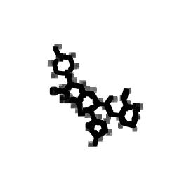 C=Cc1ncccc1/C=C(\C)c1cc2cc(N3CCN(C)CC3)c(=O)[nH]c2nc1-c1ccc(C)s1